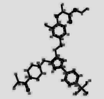 CCOC(=O)C(C)Oc1ccc(SCc2sc(-c3ccc(C(F)(F)F)cc3)nc2CN2CCN(C(=O)C(C)C)CC2)cc1C